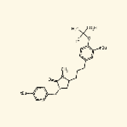 CCCCc1cc(CCCC2CN(Cc3ccc(C(C)(C)C)cc3)C(=O)N2C)ccc1OC(C)(C)C(=O)O